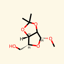 CO[C@@H]1O[C@H](CO)[C@@H]2OC(C)(C)OC12